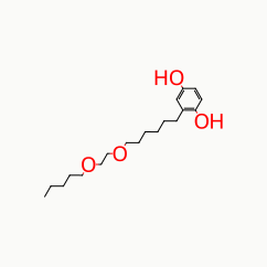 CCCCCOCCOCCCCCCc1cc(O)ccc1O